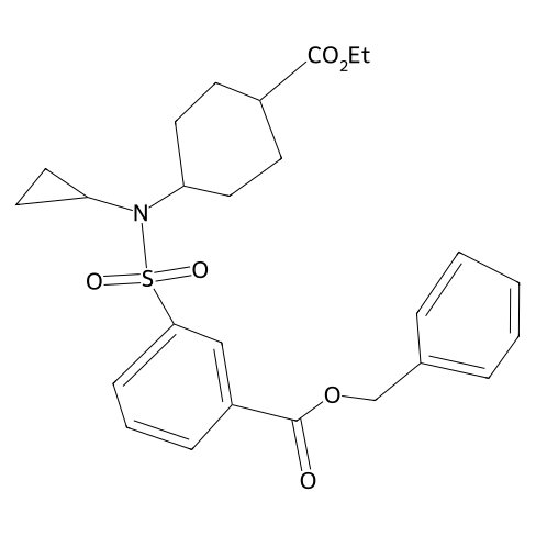 CCOC(=O)C1CCC(N(C2CC2)S(=O)(=O)c2cccc(C(=O)OCc3ccccc3)c2)CC1